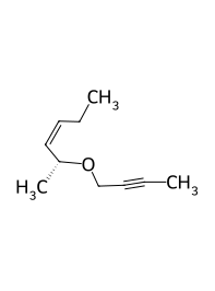 CC#CCO[C@H](C)/C=C\CC